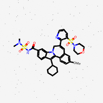 COc1ccc2c(c1)C=C(c1ncccc1S(=O)(=O)N1CCOCC1)Cn1c-2c(C2CCCCC2)c2ccc(C(=O)NS(=O)(=O)N(C)C)cc21